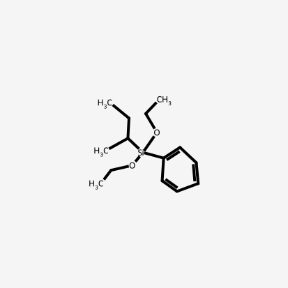 CCO[Si](OCC)(c1ccccc1)C(C)CC